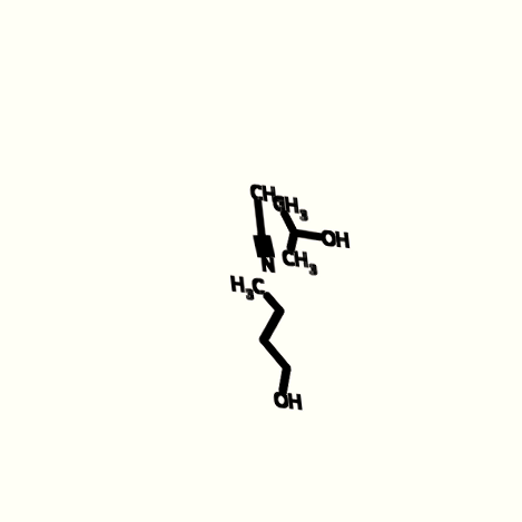 CC#N.CC(C)O.CCCCO